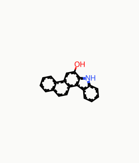 Oc1cc2c3ccccc3ccc2c2c1[nH]c1ccccc12